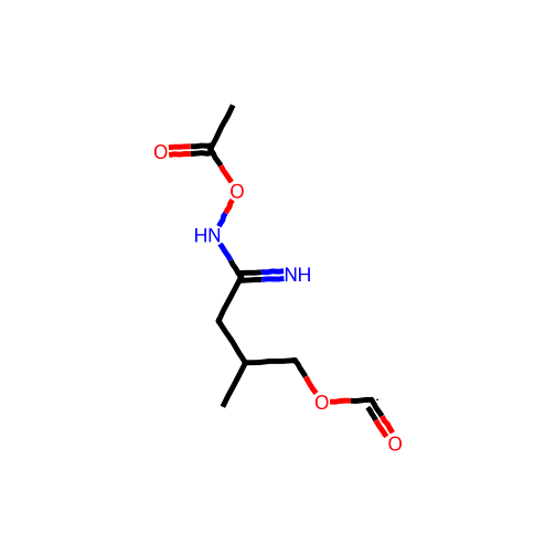 CC(=O)ONC(=N)CC(C)CO[C]=O